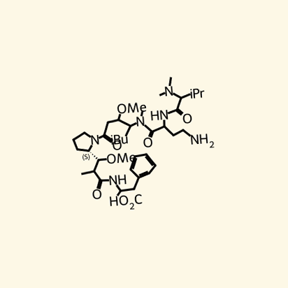 CCC(C)C(C(CC(=O)N1CCC[C@H]1C(OC)C(C)C(=O)NC(Cc1ccccc1)C(=O)O)OC)N(C)C(=O)C(CCN)NC(=O)C(C(C)C)N(C)C